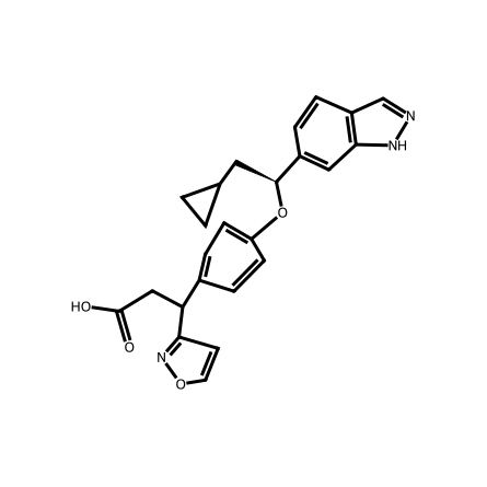 O=C(O)CC(c1ccc(O[C@@H](CC2CC2)c2ccc3cn[nH]c3c2)cc1)c1ccon1